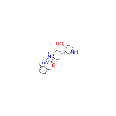 Cc1cccc(C)c1NC(=O)C1(N(C)C)CCN([C@H]2CNCC[C@@H]2O)CC1